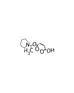 CC(OC(=O)/C=C\C(=O)O)N1CCCCCC1